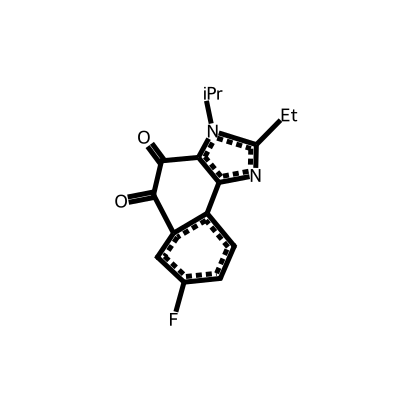 CCc1nc2c(n1C(C)C)C(=O)C(=O)c1cc(F)ccc1-2